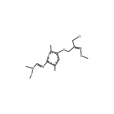 CCN(C)C=Nc1cc(C)c(OC/C(CCl)=N\OC)cc1C